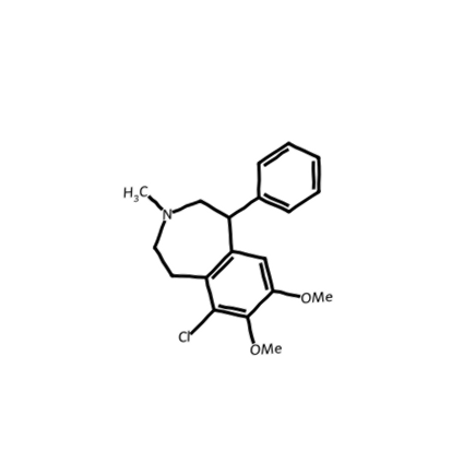 COc1cc2c(c(Cl)c1OC)CCN(C)CC2c1ccccc1